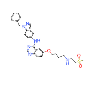 CS(=O)(=O)CCNCCCCOc1ccc2ncnc(Nc3ccc4c(cnn4Cc4ccccc4)c3)c2c1